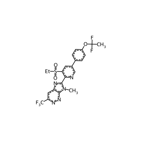 CCS(=O)(=O)c1cc(-c2ccc(OC(C)(F)F)cc2)cnc1-c1nc2cc(C(F)(F)F)nnc2n1C